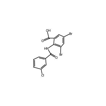 O=C(Nc1c(Br)cc(Br)cc1C(=O)O)c1cccc(Cl)c1